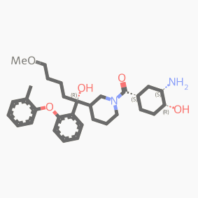 COCCCC[C@](O)(c1ccccc1Oc1ccccc1C)C1CCCN(C(=O)[C@H]2CC[C@@H](O)[C@@H](N)C2)C1